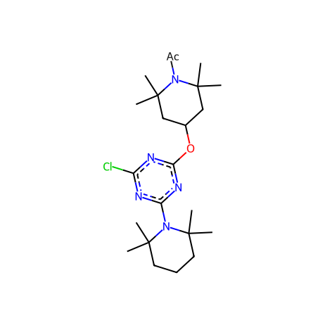 CC(=O)N1C(C)(C)CC(Oc2nc(Cl)nc(N3C(C)(C)CCCC3(C)C)n2)CC1(C)C